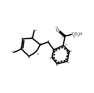 CC1=CC(C)C(Cc2ccccc2C(=O)C(=O)O)CC1